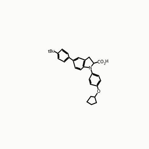 CC(C)(C)c1ccc(-c2ccc3c(c2)CC(C(=O)O)N3c2ccc(OC3CCCC3)cc2)cc1